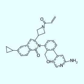 C=CC(=O)N1CC(c2cc3cc(C4CC4)ccc3c(=O)n2-c2cccc(-c3ccnc(N)c3)c2CO)C1